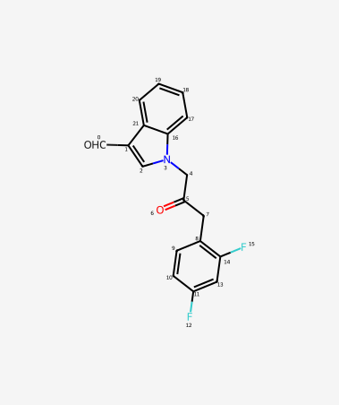 O=Cc1cn(CC(=O)Cc2ccc(F)cc2F)c2ccccc12